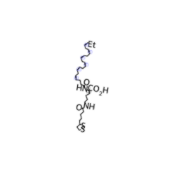 CC/C=C\C/C=C\C/C=C\C/C=C\C/C=C\C/C=C\CCC(=O)N[C@@H](CCCCNC(=O)CCCCC1CCSS1)C(=O)O